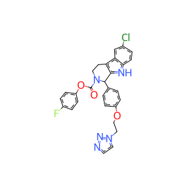 O=C(Oc1ccc(F)cc1)N1CCc2c([nH]c3ccc(Cl)cc23)C1c1ccc(OCCn2ccnn2)cc1